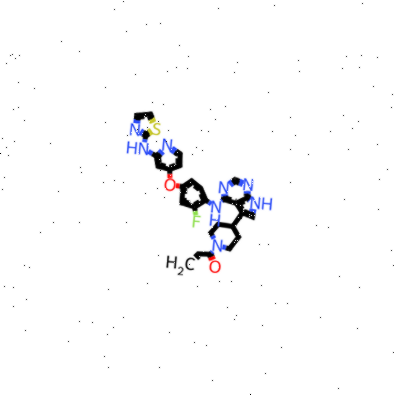 C=CC(=O)N1CCC(c2c[nH]c3ncnc(Nc4ccc(Oc5ccnc(Nc6nccs6)c5)cc4F)c23)CC1